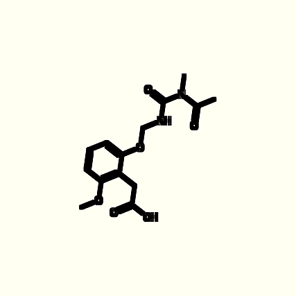 COc1cccc(OCNC(=O)N(C)C(C)=O)c1CC(=O)O